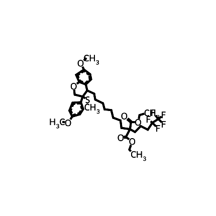 CCOC(=O)C(CCCCCCCCC1c2ccc(OC)cc2OCC1(SC)c1ccc(OC)cc1)(CCCC(F)(F)C(F)(F)F)C(=O)OCC